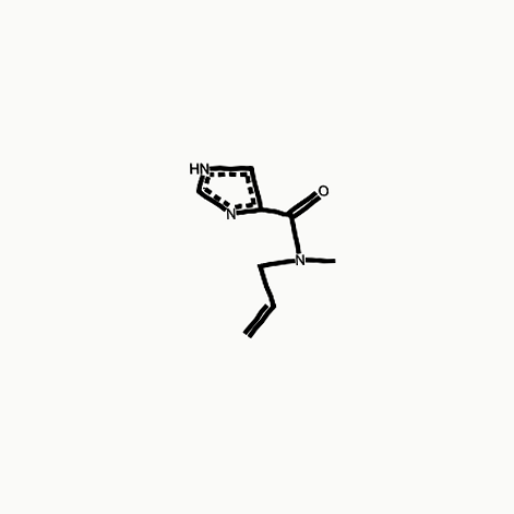 C=CCN(C)C(=O)c1c[nH]cn1